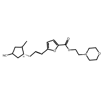 CC1CC(C#N)C[C@H]1CCCc1ccc(C(=O)OCCN2CCOCC2)o1